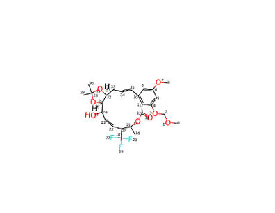 COCOc1cc(OC)cc2c1C(=O)OC(C)C(C(F)(F)F)/C=C\C(O)[C@H]1OC(C)(C)O[C@H]1C/C=C/2